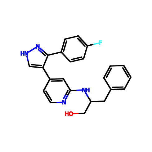 OCC(Cc1ccccc1)Nc1cc(-c2c[nH]nc2-c2ccc(F)cc2)ccn1